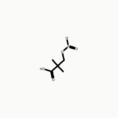 CC(C)(CO[N+](=O)[O-])C(=O)O